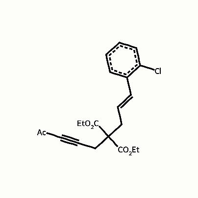 CCOC(=O)C(CC#CC(C)=O)(CC=Cc1ccccc1Cl)C(=O)OCC